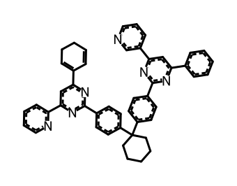 C1=CC(c2cc(-c3ccccn3)nc(-c3ccc(C4(c5ccc(-c6nc(-c7ccccc7)cc(-c7cccnc7)n6)cc5)CCCCC4)cc3)n2)=CCC1